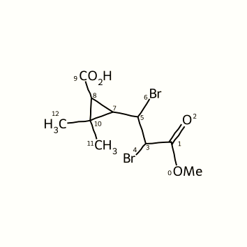 COC(=O)C(Br)C(Br)C1C(C(=O)O)C1(C)C